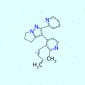 C=C/C=C\c1c(-c2c(-c3ccccn3)nn3c2CCC3)ccnc1C